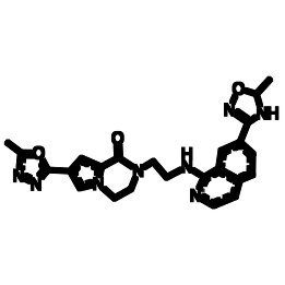 Cc1nnc(-c2cc3n(c2)CCN(CCNc2nccc4ccc(C5=NOC(C)N5)cc24)C3=O)o1